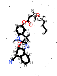 CCCC[Si](C)(C)O[Si](C)(C)CC(=O)Oc1ccc2c(c1)C(C)(C)C1(C=Nc3c(cc(C#N)c4ccccc34)O1)N2C